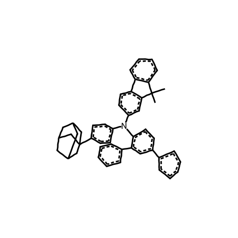 CC1(C)c2ccccc2-c2ccc(N(c3ccc(C45CC6CC(CC(C6)C4)C5)cc3)c3ccc(-c4ccccc4)cc3-c3ccccc3)cc21